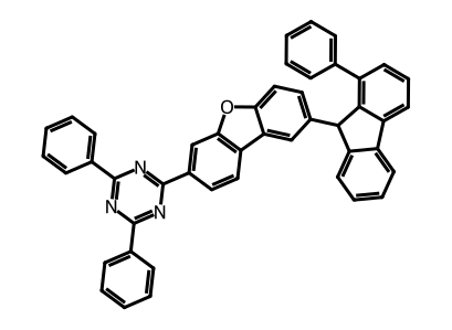 c1ccc(-c2nc(-c3ccccc3)nc(-c3ccc4c(c3)oc3ccc(C5c6ccccc6-c6cccc(-c7ccccc7)c65)cc34)n2)cc1